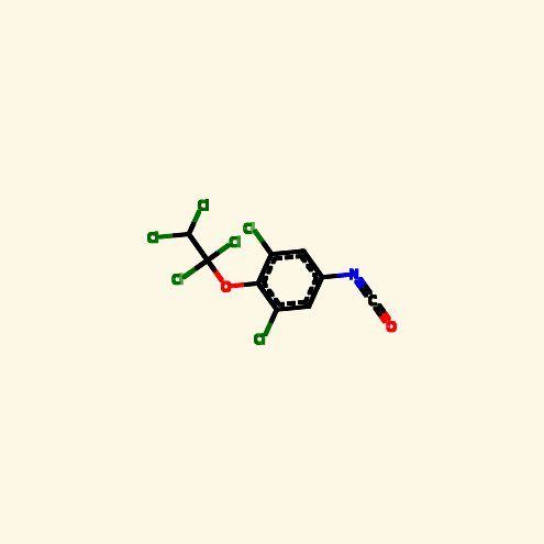 O=C=Nc1cc(Cl)c(OC(Cl)(Cl)C(Cl)Cl)c(Cl)c1